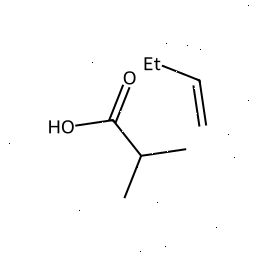 C=CCC.CC(C)C(=O)O